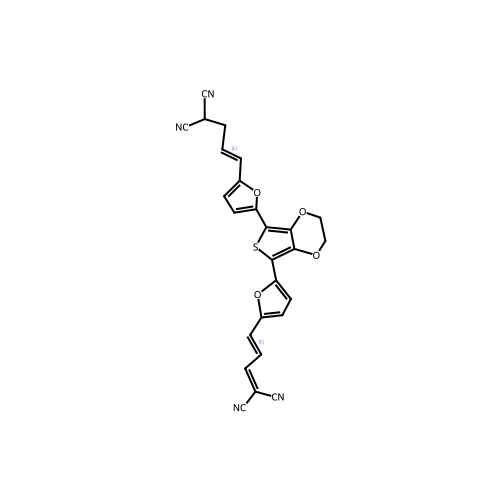 N#CC(C#N)=C/C=C/c1ccc(-c2sc(-c3ccc(/C=C/CC(C#N)C#N)o3)c3c2OCCO3)o1